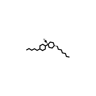 CCCCCCC[C@H]1CC[C@](C#N)(C2CCC(CCCCC)CC2)CC1